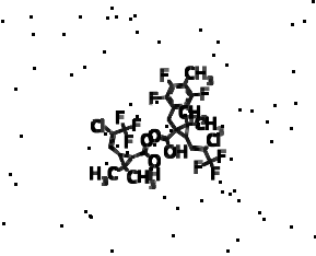 CC1(C)[C@H](C(=O)O)[C@@H]1/C=C(/Cl)C(F)(F)F.Cc1c(F)c(F)c(CC2(C(=O)O)C(C=C(Cl)C(F)(F)F)C2(C)C)c(F)c1F